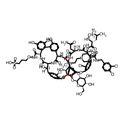 CN[C@H](CC(C)C)C(=O)N[C@H]1C(=O)N[C@@H](CC(N)=O)C(=O)N[C@H]2C(=O)N[C@H]3C(=O)N[C@H](C(=O)N[C@@H](C(=O)NOCCCS(=O)(=O)O)c4cc(O)cc(O)c4-c4cc3ccc4O)[C@H](O)c3ccc(c(Cl)c3)Oc3cc2cc(c3O[C@@H]2O[C@H](CO)[C@@H](O)[C@H](O)[C@H]2O[C@H]2C[C@](C)(NCCN3CCN(C(=O)NCc4ccc(Cl)c(Cl)c4)CC3)[C@H](O)[C@H](C)O2)Oc2ccc(cc2Cl)[C@H]1O